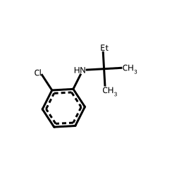 CCC(C)(C)Nc1ccccc1Cl